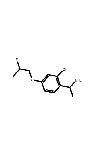 CC(N)c1ccc(OCC(F)I)cc1Cl